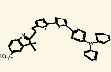 CC1(C)C(/C=C/c2ccc(-c3ccc(-c4ccc(N(c5ccccc5)c5ccccc5)cc4)s3)s2)=Nc2ccc(C(=O)O)cc21